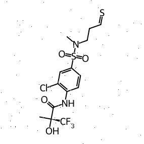 CN(CCC=S)S(=O)(=O)c1ccc(NC(=O)[C@@](C)(O)C(F)(F)F)c(Cl)c1